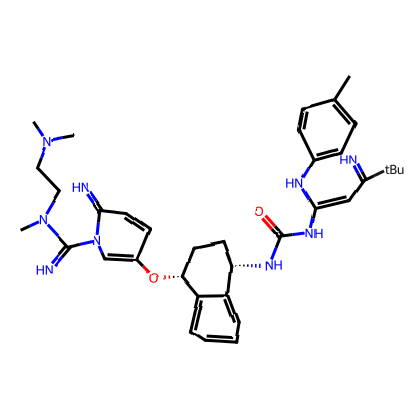 Cc1ccc(N/C(=C\C(=N)C(C)(C)C)NC(=O)N[C@H]2CC[C@@H](Oc3ccc(=N)n(C(=N)N(C)CCN(C)C)c3)c3ccccc32)cc1